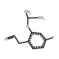 CC(C)Oc1cc(F)ccc1CC=O